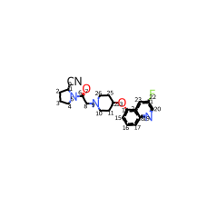 N#CC1CCCN1C(=O)CN1CCC(Oc2cccc3ncc(F)cc23)CC1